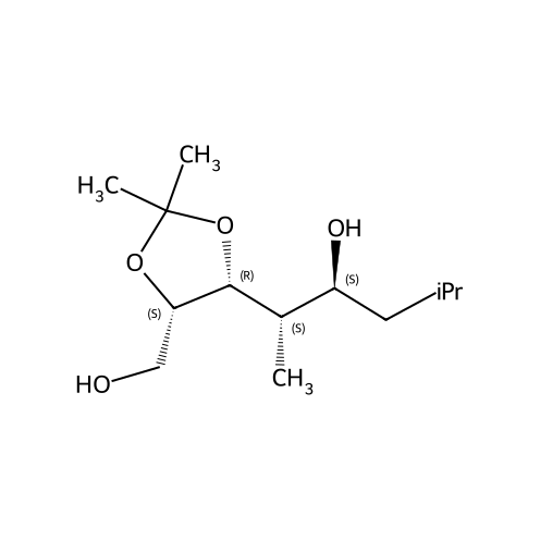 CC(C)C[C@H](O)[C@H](C)[C@H]1OC(C)(C)O[C@H]1CO